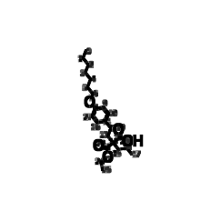 CCCCCCCOc1ccc(CCC(CCC)(C(=O)O)C(=O)OCC)cc1